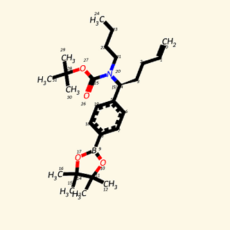 C=CCC[C@@H](c1ccc(B2OC(C)(C)C(C)(C)O2)cc1)N(CCCC)C(=O)OC(C)(C)C